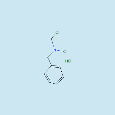 Cl.ClCN(Cl)Cc1ccccc1